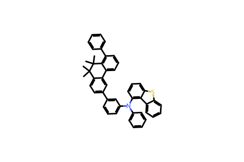 CC1(C)c2ccc(-c3cccc(N(c4ccccc4)c4cccc5sc6ccccc6c45)c3)cc2-c2cccc(-c3ccccc3)c2C1(C)C